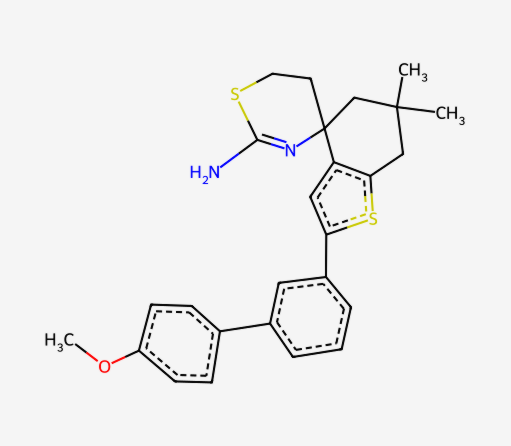 COc1ccc(-c2cccc(-c3cc4c(s3)CC(C)(C)CC43CCSC(N)=N3)c2)cc1